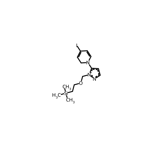 C[Si](C)(C)CCOCn1nccc1N1C=CC(I)=CC1